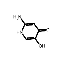 Nc1cc(=O)c(O)c[nH]1